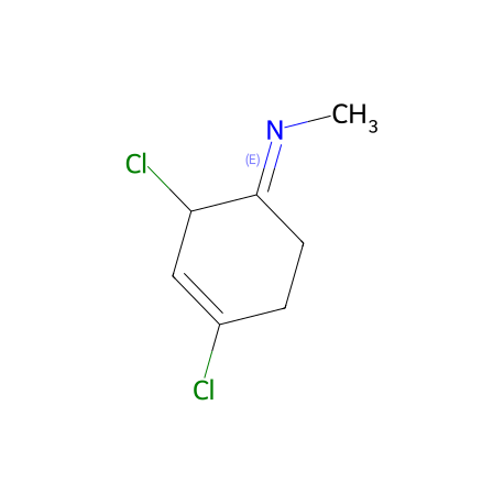 C/N=C1\CCC(Cl)=CC1Cl